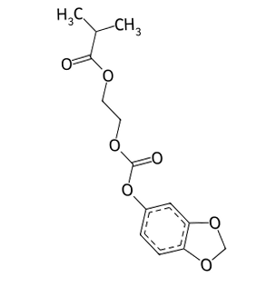 CC(C)C(=O)OCCOC(=O)Oc1ccc2c(c1)OCO2